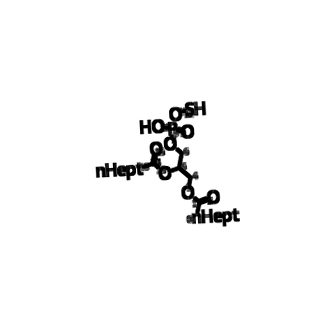 CCCCCCCC(=O)OCC(COP(=O)(O)OS)OC(=O)CCCCCCC